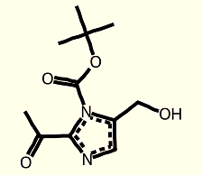 CC(=O)c1ncc(CO)n1C(=O)OC(C)(C)C